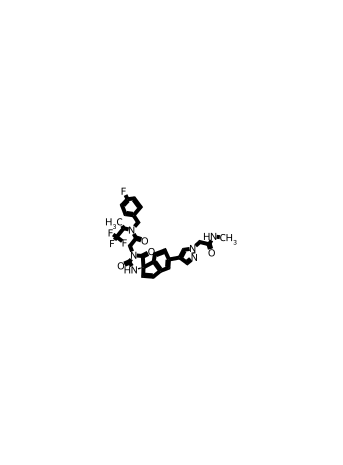 CNC(=O)Cn1cc(-c2ccc3c(c2)C=C[C@]32NC(=O)N(CC(=O)N(Cc3ccc(F)cc3)C(C)C(F)(F)F)C2=O)cn1